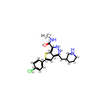 CNC(=O)c1nnc(CC2CCCNC2)c2cc(-c3ccc(Cl)cc3)sc12